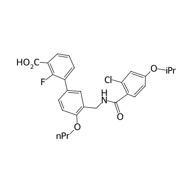 CCCOc1ccc(-c2cccc(C(=O)O)c2F)cc1CNC(=O)c1ccc(OC(C)C)cc1Cl